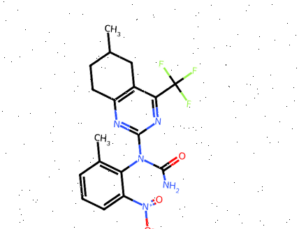 Cc1cccc([N+](=O)[O-])c1N(C(N)=O)c1nc2c(c(C(F)(F)F)n1)CC(C)CC2